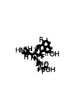 C#Cc1c(F)ccc2cc(O)cc(-c3ncc4c(C5[C@H]6CNC[C@@H]56)nn(C5CC5)c4c3F)c12.O=C(O)C(F)(F)F